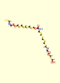 O=C(NCSCSCSCSC/N=C/OOCSCO)OCSCSCSCSCOO/C=N\CS